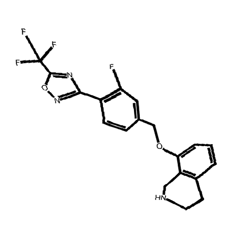 Fc1cc(COc2cccc3c2CNCC3)ccc1-c1noc(C(F)(F)F)n1